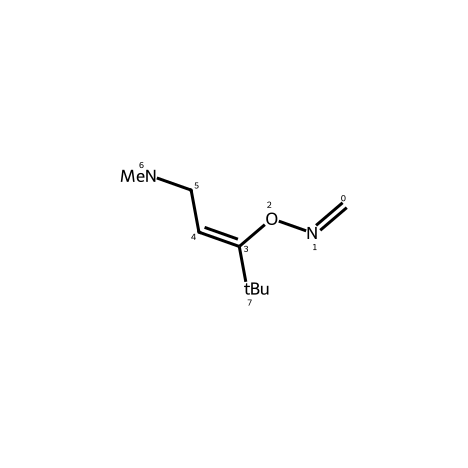 C=NO/C(=C\CNC)C(C)(C)C